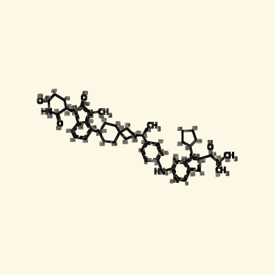 C[C@@H](c1ccc(Nc2ncc3cc(C(=O)N(C)C)n(C4CCCC4)c3n2)nc1)N1CC2(CCN(c3cccc4c3n(C)c(=O)n4[C@@H]3CCC(=O)NC3=O)CC2)C1